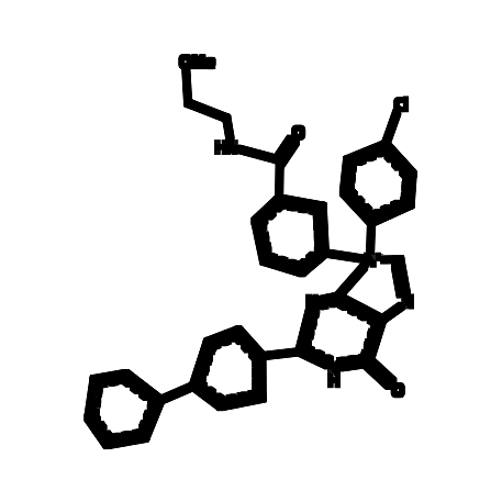 COCCNC(=O)c1cccc([N+]2(c3ccc(Cl)cc3)C=Nc3c2nc(-c2ccc(-c4ccccc4)cc2)[nH]c3=O)c1